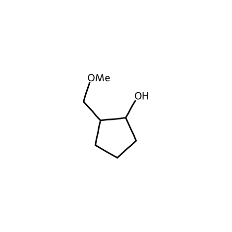 COCC1CCCC1O